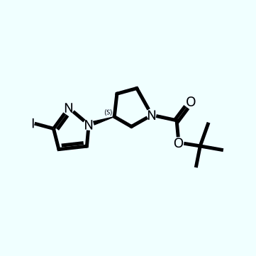 CC(C)(C)OC(=O)N1CC[C@H](n2ccc(I)n2)C1